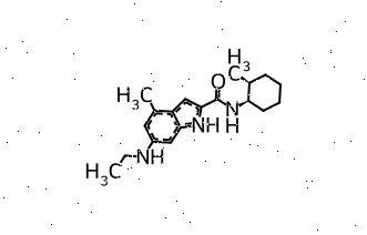 CCNc1cc(C)c2cc(C(=O)N[C@@H]3CCCC[C@@H]3C)[nH]c2c1